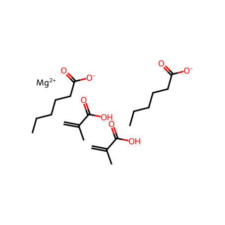 C=C(C)C(=O)O.C=C(C)C(=O)O.CCCCCC(=O)[O-].CCCCCC(=O)[O-].[Mg+2]